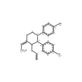 C=CCC1/C(=C\C(=O)O)CCN(c2ccc(C(C)C)cc2)C1c1ccc(C(F)(F)F)cc1